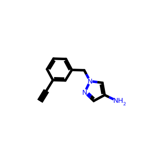 C#Cc1cccc(Cn2cc(N)cn2)c1